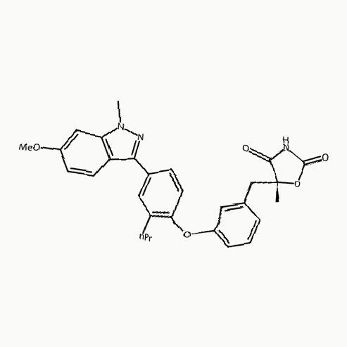 CCCc1cc(-c2nn(C)c3cc(OC)ccc23)ccc1Oc1cccc(C[C@@]2(C)OC(=O)NC2=O)c1